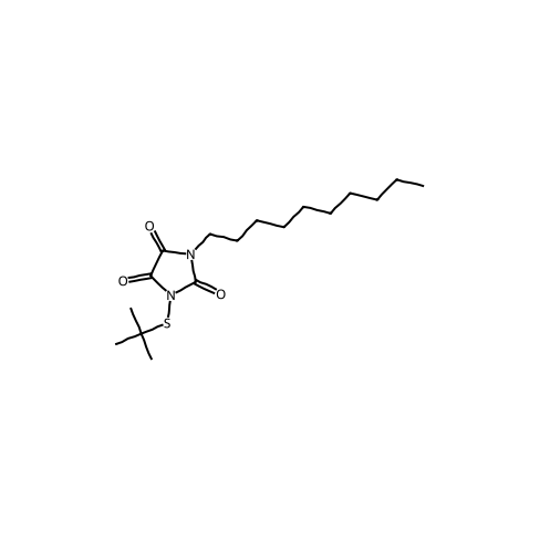 CCCCCCCCCCN1C(=O)C(=O)N(SC(C)(C)C)C1=O